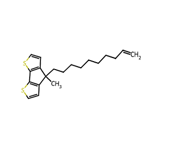 C=CCCCCCCCCC1(C)c2ccsc2-c2sccc21